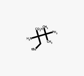 CC(C)(C)CC(N)(C(=O)O)C(C)(C)P